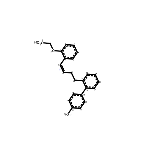 O=C(O)COc1ccccc1/C=C\CCc1ccccc1-c1ccc(O)cc1